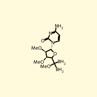 BC(B)(OC)C1O[C@@H](n2ccc(N)nc2=O)[C@H](OC)[C@@H]1OC